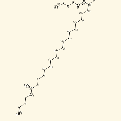 CC(C)CCCOC(=O)CCCCCCCCCCCCCCCCCC(C)C(=O)OCCCC(C)C